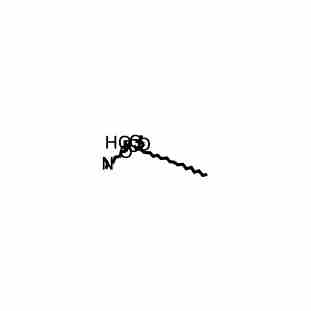 CCCCCCCCCCCCCCCCC(COP(O)OCCCCN(C)C)OC(C)=O